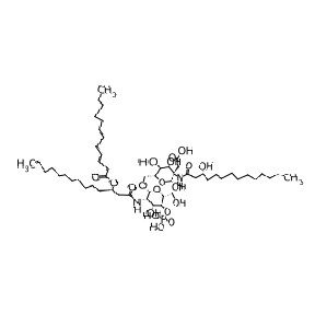 CCCCCCCCCCCC(=O)O[C@H](CCCCCCCCCCC)CC(=O)N[C@@H]1[C@H](OC[C@H]2O[C@H](O)[C@@](CC(=O)O)(NC(=O)C[C@H](O)CCCCCCCCCCC)[C@@H](O)[C@@H]2O)O[C@H](CO)[C@@H](OP(=O)(O)O)[C@@H]1O